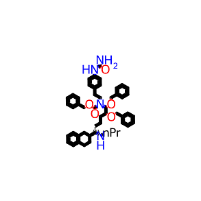 CCCN[C@@H](CCCC(OCc1ccccc1)C(OCc1ccccc1)N(CCc1ccc(NC(N)=O)cc1)C(=O)OCc1ccccc1)C1CCc2ccccc2C1